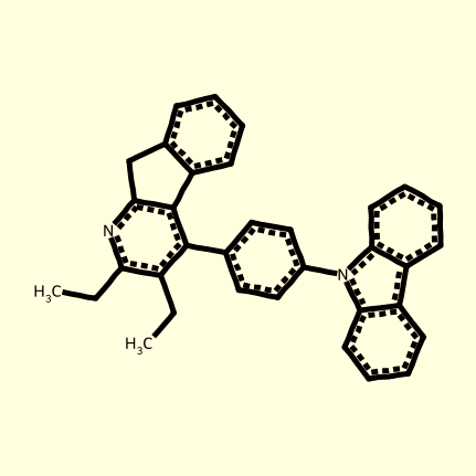 CCc1nc2c(c(-c3ccc(-n4c5ccccc5c5ccccc54)cc3)c1CC)-c1ccccc1C2